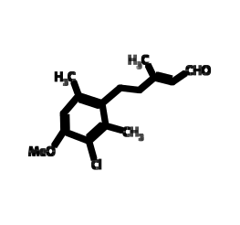 COc1cc(C)c(CC/C(C)=C/C=O)c(C)c1Cl